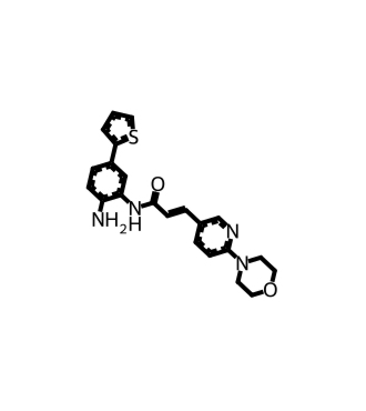 Nc1ccc(-c2cccs2)cc1NC(=O)C=Cc1ccc(N2CCOCC2)nc1